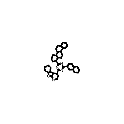 c1ccc2cc(-c3nc(-c4cccc5c4ccc4c6ccccc6ccc54)nc(-c4ccnc5oc6ccccc6c45)n3)ccc2c1